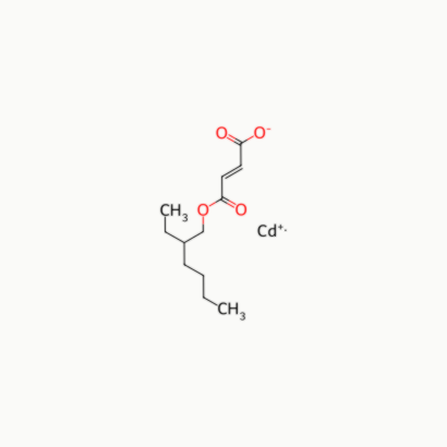 CCCCC(CC)COC(=O)C=CC(=O)[O-].[Cd+]